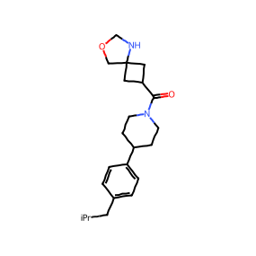 CC(C)Cc1ccc(C2CCN(C(=O)C3CC4(COCN4)C3)CC2)cc1